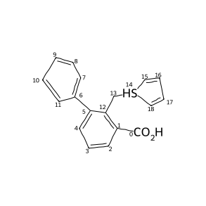 O=C(O)c1cccc(-c2ccccc2)c1C[SH]1C=CC=C1